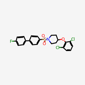 O=S(=O)(c1ccc(-c2ccc(F)cc2)cc1)N1CCC(Oc2c(Cl)cccc2Cl)CC1